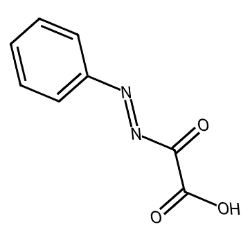 O=C(O)C(=O)N=Nc1ccccc1